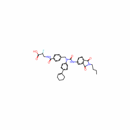 CCCCN1C(=O)c2ccc(NC(=O)N(Cc3ccc(C(=O)NCC(F)C(=O)O)cc3)c3ccc(C4=CCCCC4)cc3)cc2C1=O